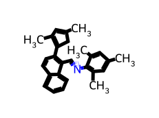 CC1=CC(C)=C(c2ccc3ccccc3c2/C=N/c2c(C)cc(C)cc2C)C1